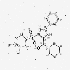 CC1=C(F)CC(C)C(S(=O)(=O)c2nc(-c3ccccc3)[nH]c2[S+]([O-])C2CCCCC2)=C1